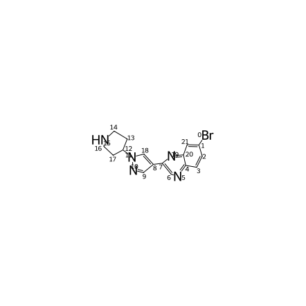 Brc1ccc2ncc(-c3cnn(C4CCNCC4)c3)nc2c1